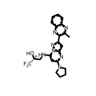 Cc1nc2ccccc2nc1-c1cc2nc(N3CCCC3)cc(NC[C@@H](O)C(F)(F)F)n2n1